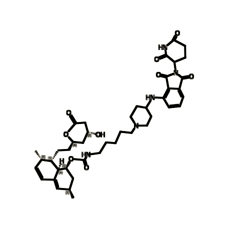 C[C@H]1C=C2C=C[C@H](C)[C@H](CC[C@@H]3C[C@@H](O)CC(=O)O3)[C@H]2[C@@H](OC(=O)NCCCCCN2CCC(Nc3cccc4c3C(=O)N(C3CCC(=O)NC3=O)C4=O)CC2)C1